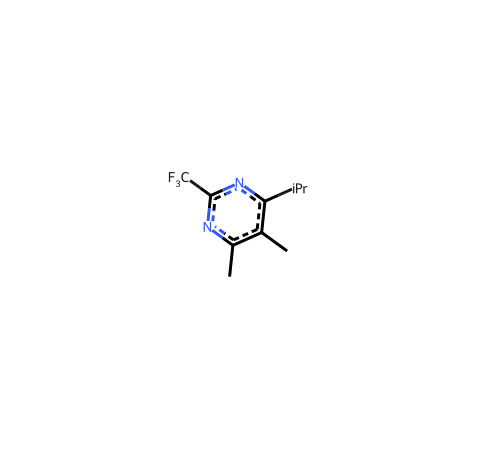 Cc1nc(C(F)(F)F)nc(C(C)C)c1C